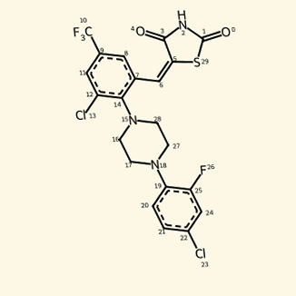 O=C1NC(=O)/C(=C\c2cc(C(F)(F)F)cc(Cl)c2N2CCN(c3ccc(Cl)cc3F)CC2)S1